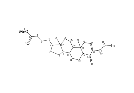 COC(=O)CCCC1CCC2C3CCC4C(F)C(OSI)=CCC4(C)C3CCC12C